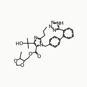 CCCc1nc(C(C)(C)O)c(C(=O)OCC2OCOC2C)n1Cc1ccc(-c2ccccc2-c2nnn[nH]2)cc1